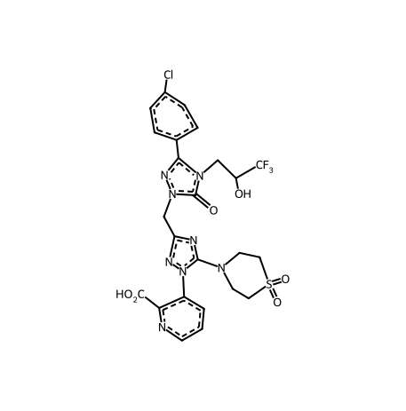 O=C(O)c1ncccc1-n1nc(Cn2nc(-c3ccc(Cl)cc3)n(CC(O)C(F)(F)F)c2=O)nc1N1CCS(=O)(=O)CC1